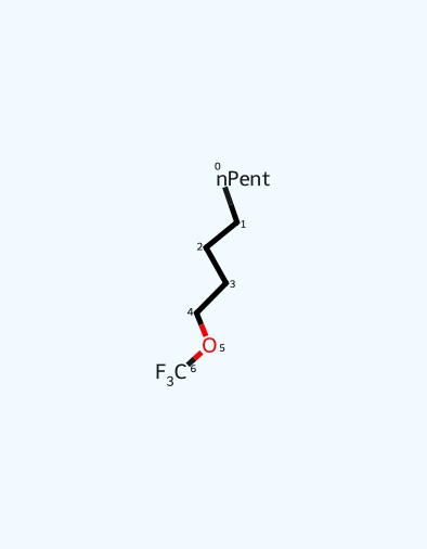 [CH2]CCCCCCCCOC(F)(F)F